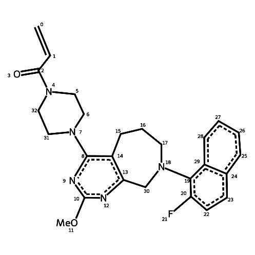 C=CC(=O)N1CCN(c2nc(OC)nc3c2CCCN(c2c(F)ccc4ccccc24)C3)CC1